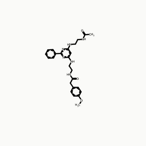 COc1ccc(CC(=O)NCCNc2cc(NCCNC(C)=O)nc(-c3ccccc3)n2)cc1